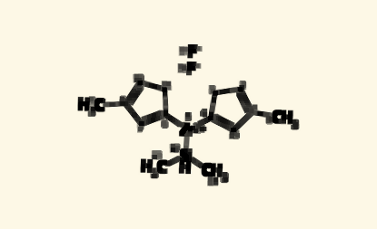 CC1=CC[C]([Zr+2]([C]2=CC(C)=CC2)[SiH](C)C)=C1.[F-].[F-]